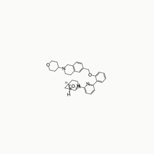 O=C(O)[C@@]12CCN(c3cccc(-c4ccccc4OCc4ccc5c(c4)CCN(C4CCOCC4)C5)n3)C[C@@H]1C2